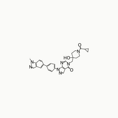 Cn1ncc2cc(-c3ccc(-n4ncc5c(=O)n(CC6(O)CCN(C(=O)C7CC7)CC6)cnc54)cc3)ccc21